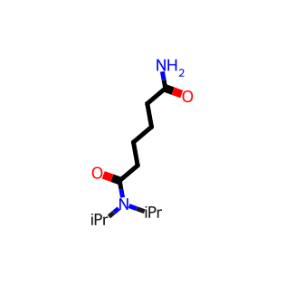 CC(C)N(C(=O)CCCCC(N)=O)C(C)C